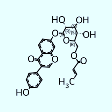 CC=CC(=O)OC[C@H]1O[C@@H](Oc2ccc3c(=O)c(-c4ccc(O)cc4)coc3c2)[C@H](O)[C@@H](O)[C@@H]1O